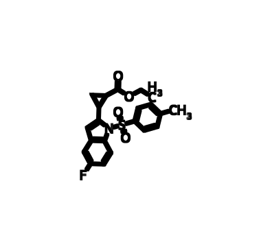 CCOC(=O)C1CC1c1cc2cc(F)ccc2n1S(=O)(=O)c1ccc(C)cc1